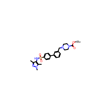 Cc1nn(C)c(C)c1NS(=O)(=O)c1ccc(-c2cccc(CN3CCN(C(=O)OC(C)(C)C)CC3)c2)cc1